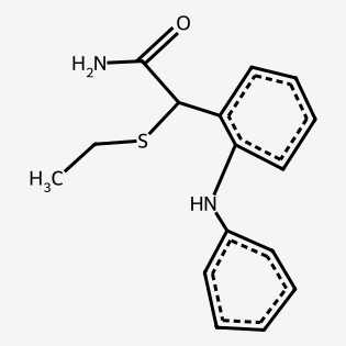 CCSC(C(N)=O)c1ccccc1Nc1ccccc1